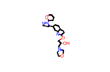 O[C@@H](COc1ccc2ccc(-c3ccnn3C3CCCCO3)cc2n1)CN1CCOCC1